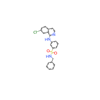 O=S(=O)(NCc1ccccc1)c1cccc(Nc2nccc3ccc(Cl)cc23)c1